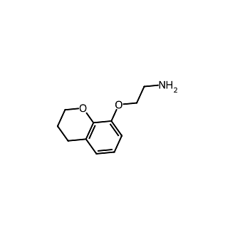 NCCOc1cccc2c1OCCC2